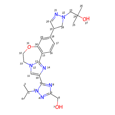 CC(C)n1nc(CO)nc1-c1cn2c(n1)-c1ccc(C3C=NN(CC(C)(C)O)C3)cc1OCC2